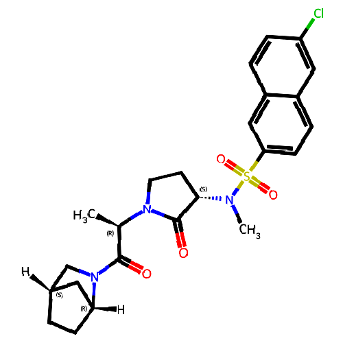 C[C@H](C(=O)N1C[C@H]2CC[C@@H]1C2)N1CC[C@H](N(C)S(=O)(=O)c2ccc3cc(Cl)ccc3c2)C1=O